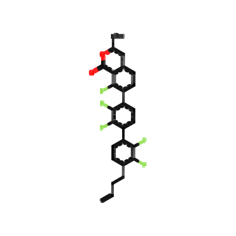 C=CCCc1ccc(-c2ccc(-c3ccc4cc(CCCCCCCCCC)oc(=O)c4c3F)c(F)c2F)c(F)c1F